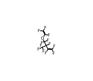 FC(F)=C(F)OC(F)(F)C(F)(C(F)=C(F)F)C(F)(F)F